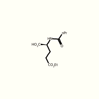 CCCC(=O)N[C@@H](CCC(=O)OCC)C(=O)O